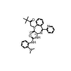 CN(C)c1ccccc1NC(=O)N[C@@H]1N=C(c2ccccn2)c2ccccc2N(CC(=O)C(C)(C)C)C1=O